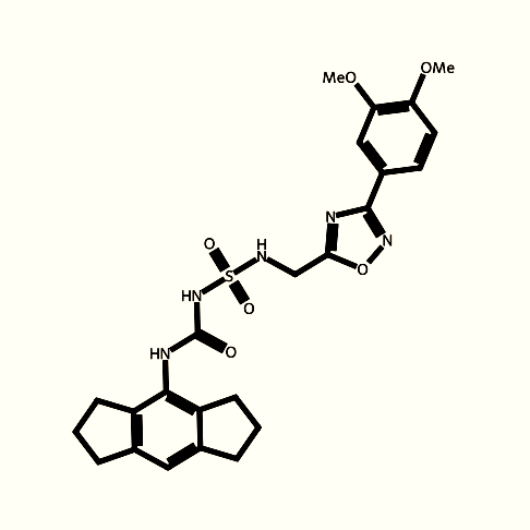 COc1ccc(-c2noc(CNS(=O)(=O)NC(=O)Nc3c4c(cc5c3CCC5)CCC4)n2)cc1OC